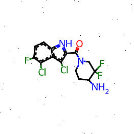 NC1CCN(C(=O)c2[nH]c3ccc(F)c(Cl)c3c2Cl)CC1(F)F